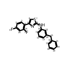 Fc1ccc(-c2csc(Nc3cccc(Cc4ccccc4)c3)n2)c(F)c1